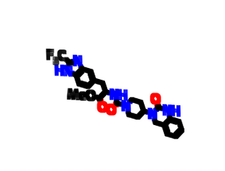 COC(=O)C(Cc1ccc2[nH]c(C(F)(F)F)nc2c1)NC(=O)N1CCC(N2Cc3ccccc3NC2=O)CC1